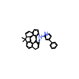 CC1(C)c2ccc3c4c2c2c5c(ccc6c5c4c(n6-c4cc(-c5ccccc5)ccn4)=CC3)C=CC21